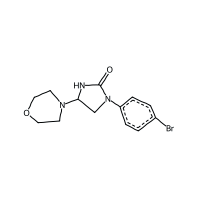 O=C1NC(N2CCOCC2)CN1c1ccc(Br)cc1